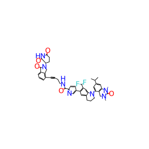 CC(C)c1cc2c(c(N3CCCc4cc(-c5ccc(C(=O)NCCC#Cc6cccc7c6CN(C6CCC(=O)NC6=O)C7=O)nc5)c(C(F)F)cc43)c1)CN(C)C(=O)N2C